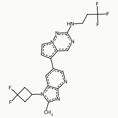 Cc1nc2ncc(-c3ccn4nc(NCCC(F)(F)F)ncc34)cc2n1C1CC(F)(F)C1